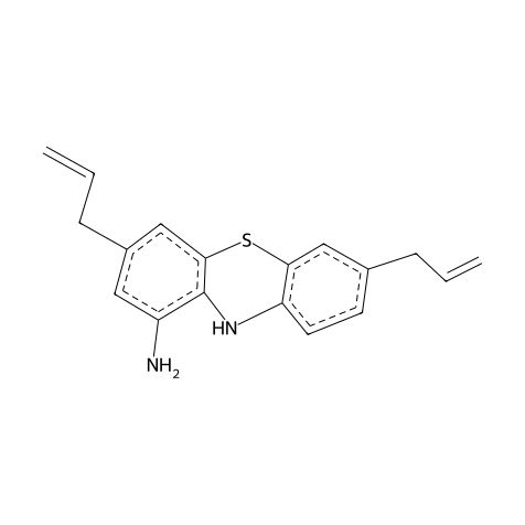 C=CCc1ccc2c(c1)Sc1cc(CC=C)cc(N)c1N2